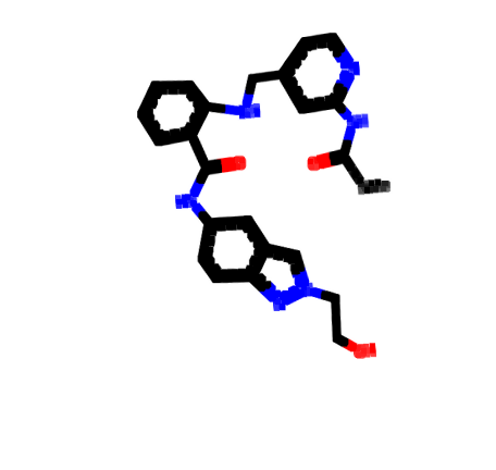 CNC(=O)Nc1cc(CNc2ccccc2C(=O)Nc2ccc3nn(CCO)cc3c2)ccn1